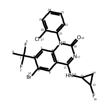 CC(F)(F)c1cc2c(cc1Br)c(NC1CC1F)nc(=O)n2-c1ccccc1Cl